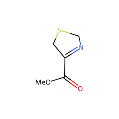 COC(=O)C1=NCSC1